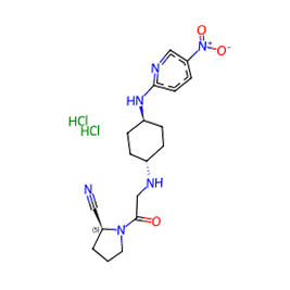 Cl.Cl.N#C[C@@H]1CCCN1C(=O)CN[C@H]1CC[C@H](Nc2ccc([N+](=O)[O-])cn2)CC1